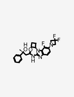 C[C@@](O)(CC(=O)Nc1nc2ccc(N3CC(F)(F)C3)c(F)c2n1C1CCC1)c1ccccc1